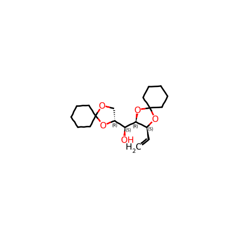 C=C[C@@H]1OC2(CCCCC2)O[C@@H]1[C@@H](O)[C@H]1COC2(CCCCC2)O1